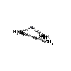 CCCCCCCC/C=C\CCCCCCCCCCC(CC)C(=O)O.CCCCCCCCC=CCCCCCCCCCCCC(=O)OCC